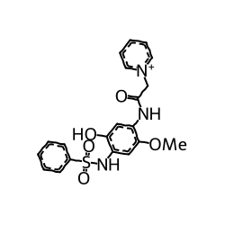 COc1cc(NS(=O)(=O)c2ccccc2)c(O)cc1NC(=O)C[n+]1ccccc1